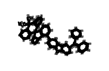 CC1(C)c2ccccc2C2(c3ccccc3-c3c(-c4ccc5oc6ccc(N(c7ccccc7)c7ccccc7)cc6c5c4)cccc32)c2ccccc21